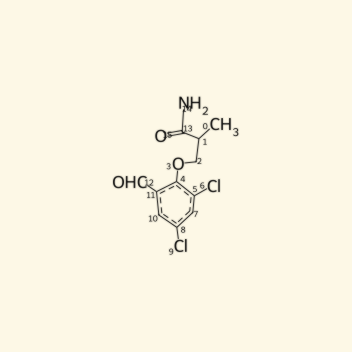 CC(COc1c(Cl)cc(Cl)cc1C=O)C(N)=O